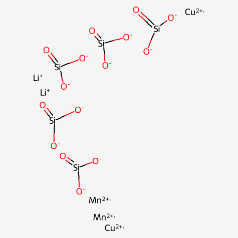 O=[Si]([O-])[O-].O=[Si]([O-])[O-].O=[Si]([O-])[O-].O=[Si]([O-])[O-].O=[Si]([O-])[O-].[Cu+2].[Cu+2].[Li+].[Li+].[Mn+2].[Mn+2]